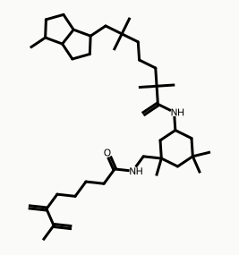 C=C(C)C(=C)CCCCC(=O)NCC1(C)CC(NC(=C)C(C)(C)CCCC(C)(C)CC2CCC3C(C)CCC23)CC(C)(C)C1